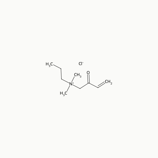 C=CC(=O)C[N+](C)(C)CCC.[Cl-]